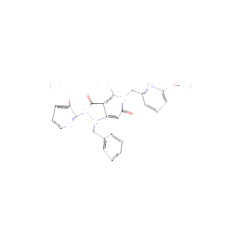 COc1cccc(Cn2c(C)c3c(=O)n(-c4ncccc4OC)n(Cc4ccccc4)c3cc2=O)n1